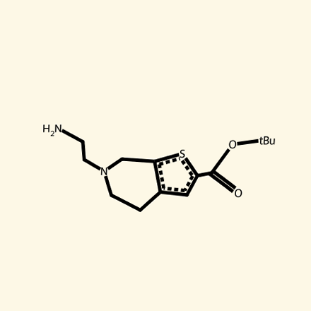 CC(C)(C)OC(=O)c1cc2c(s1)CN(CCN)CC2